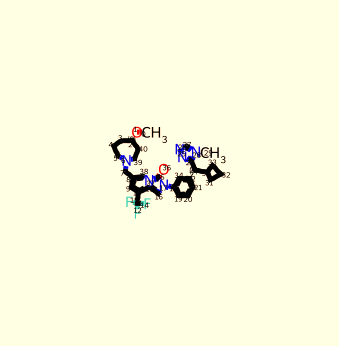 CO[C@H]1CCCN(Cc2cc(C(F)(F)F)c3cn(-c4cccc([C@H](c5nncn5C)C5CCC5)c4)c(=O)n3c2)CC1